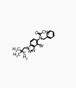 CC(=O)N(Cc1ccccc1)c1ccc2c(nnn2CC(C)(C)C)c1Br